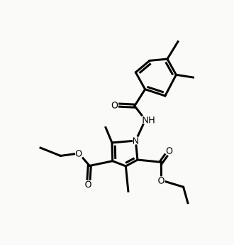 CCOC(=O)c1c(C)c(C(=O)OCC)n(NC(=O)c2ccc(C)c(C)c2)c1C